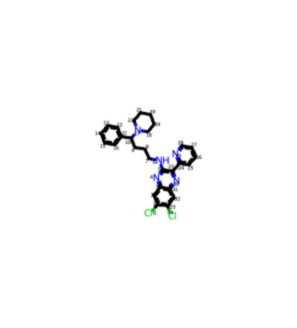 Clc1cc2nc(NCCCC(c3ccccc3)N3CCCCC3)c(-c3ccccn3)nc2cc1Cl